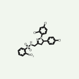 O=[N+]([O-])c1ccccc1S(=O)(=O)NCC1=NN(c2ccc(Cl)cc2Cl)C(c2ccc(Cl)cc2)C1